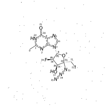 Cc1nc2c(ncn2[C@@H]2O[C@@](CI)(N=[N+]=[N-])[C@@H](O)[C@H]2F)c(=O)[nH]1